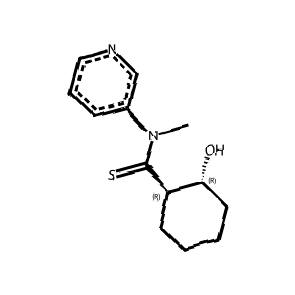 CN(C(=S)[C@@H]1CCCC[C@H]1O)c1cccnc1